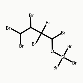 BrC(Br)C(Br)C(Br)(Br)C(Br)O[Si](Br)(Br)Br